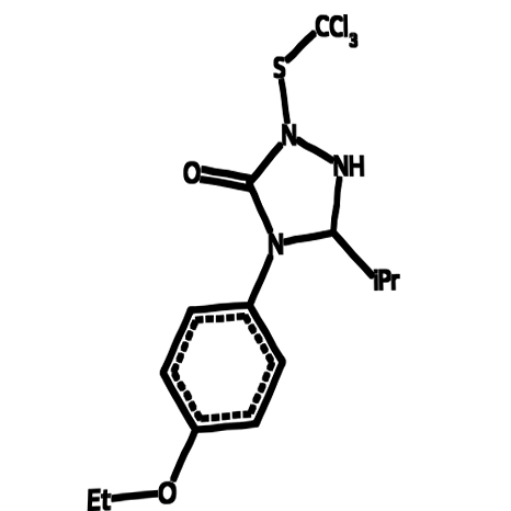 CCOc1ccc(N2C(=O)N(SC(Cl)(Cl)Cl)NC2C(C)C)cc1